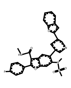 CNC(=O)c1c(-c2ccc(F)cc2)oc2cc(N(C)S(C)(=O)=O)c(-c3cncc(-c4cc5ccccc5o4)c3)cc12